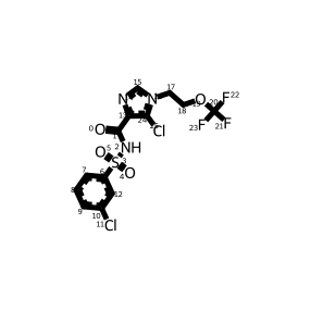 O=C(NS(=O)(=O)c1cccc(Cl)c1)c1ncn(CCOC(F)(F)F)c1Cl